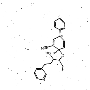 CCC(OC1(F)C=C[C@H](c2ccccc2)C=C1C#N)C(O)CCc1cccnc1